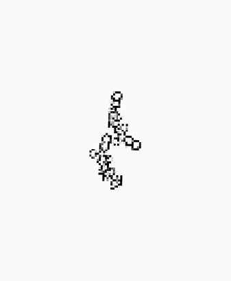 O=C1/C(=C/c2nc3oc(-c4nccs4)nc3s2)C(=O)c2cc3c(OC4/C(=C/c5nc6oc(-c7cc8ccccc8s7)nc6s5)C(=O)c5cc6ccccc6cc54)cccc3cc21